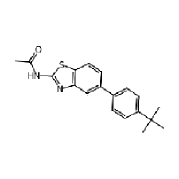 CC(=O)Nc1nc2[c]c(-c3ccc(C(C)(C)C)cc3)ccc2s1